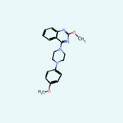 COc1ccc(N2CCN(c3nc(OC)nc4c[c]ccc34)CC2)cc1